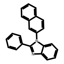 c1ccc(-c2nc3ccccc3n2-c2ccc3ccccc3c2)cc1